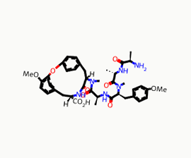 COc1ccc(C[C@@H](C(=O)N[C@@H](C)C(=O)N(C)[C@H]2Cc3ccc(cc3)Oc3cc(ccc3OC)C[C@@H](C(=O)O)NC2=O)N(C)C(=O)[C@H](C)NC(=O)[C@@H](C)N)cc1